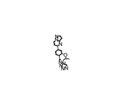 C[C@@H](Cn1cnnn1)Oc1cc(-c2ccn3nccc3n2)ccc1C#N